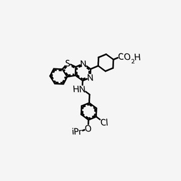 CC(C)Oc1ccc(CNc2nc(C3CCC(C(=O)O)CC3)nc3sc4ccccc4c23)cc1Cl